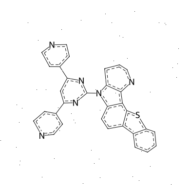 c1ccc2c(c1)sc1c2ccc2c1c1ncccc1n2-c1nc(-c2ccncc2)cc(-c2ccncc2)n1